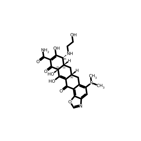 CN(C)c1cc2ncoc2c2c1C[C@H]1C[C@H]3[C@@H](NCCO)C(O)=C(C(N)=O)C(=O)[C@@]3(O)C(O)=C1C2=O